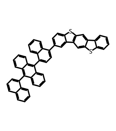 c1ccc2c(-c3c4ccccc4c(-c4ccc(-c5ccc6sc7cc8c(cc7c6c5)sc5ccccc58)c5ccccc45)c4ccccc34)cccc2c1